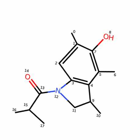 Cc1cc2c(c(C)c1O)C(C)CN2C(=O)C(C)C